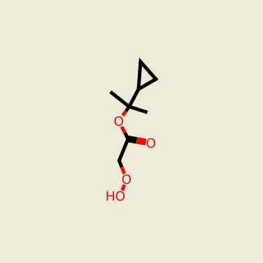 CC(C)(OC(=O)COO)C1CC1